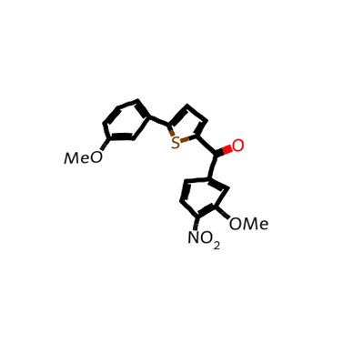 COc1cccc(-c2ccc(C(=O)c3ccc([N+](=O)[O-])c(OC)c3)s2)c1